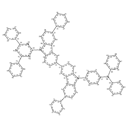 c1ccc(-c2ccc3c(c2)c2cc(-c4ccc5c(c4)c4cc(-c6ccccc6)ccc4n5-c4nc(-c5ccccc5)nc(-c5ccccc5)n4)ccc2n3-c2ccc(N(c3ccccc3)c3ccccc3)cc2)cc1